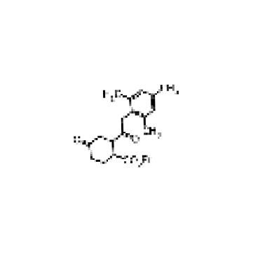 CCOC(=O)C1CCC(=O)CC1C(=O)Cc1c(C)cc(C)cc1C